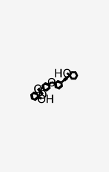 O=S(=O)(c1ccc(Oc2cccc(C#CC3(O)CCCCC3)c2)cc1)c1ccccc1O